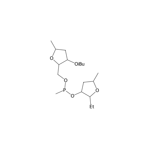 CCC1OC(C)CC1OP(C)OCC1OC(C)CC1OCC(C)C